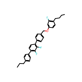 CCCCc1ccc(OCc2ccc(-c3ccc(-c4ccc(CCC)cc4)c(F)c3F)cc2)cc1F